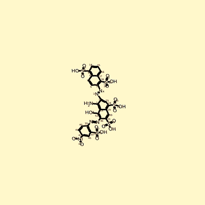 Nc1c(N=Nc2ccc3c(S(=O)(=O)O)cccc3c2S(=O)(=O)O)cc(S(=O)(=O)O)c2cc(S(=O)(=O)O)c(N=Nc3ccc([N+](=O)[O-])cc3S(=O)(=O)O)c(O)c12